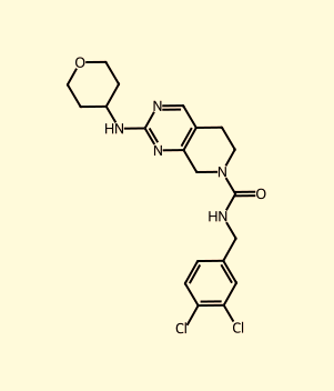 O=C(NCc1ccc(Cl)c(Cl)c1)N1CCc2cnc(NC3CCOCC3)nc2C1